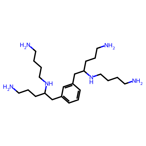 NCCCCNC(CCCN)Cc1cccc(CC(CCCN)NCCCCN)c1